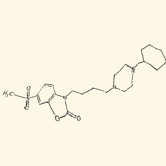 CS(=O)(=O)c1ccc2c(c1)oc(=O)n2CCCCN1CCN(C2CCCCC2)CC1